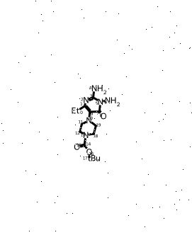 CCc1nc(N)n(N)c(=O)c1N1CCN(C(=O)OC(C)(C)C)CC1